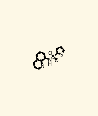 O=S(=O)(Nc1cccc2cccnc12)c1cccs1